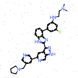 CN(C)CCNc1cc(F)cc(-c2cccc3[nH]c(-c4n[nH]c5cnc(-c6cncc(CN7CCCC7)c6)cc45)nc23)c1